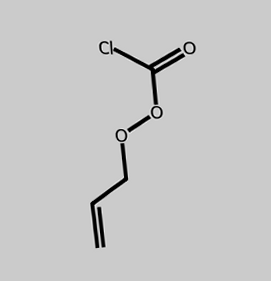 C=CCOOC(=O)Cl